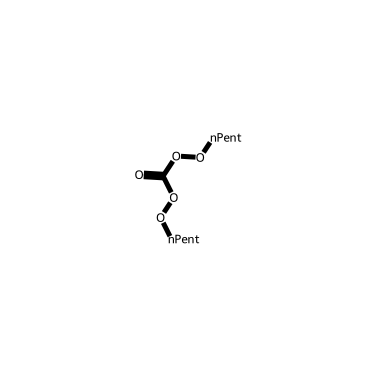 CCCCCOOC(=O)OOCCCCC